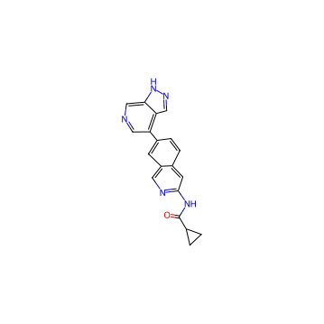 O=C(Nc1cc2ccc(-c3cncc4[nH]ncc34)cc2cn1)C1CC1